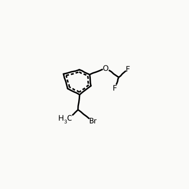 CC(Br)c1cccc(OC(F)F)c1